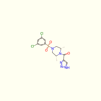 C[C@@H]1CN(S(=O)(=O)c2cc(Cl)cc(Cl)c2)C[C@H](C)N1C(=O)c1c[nH]nn1